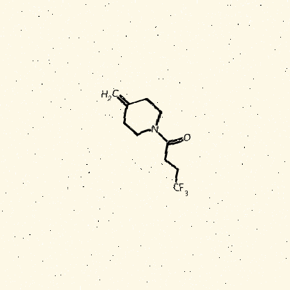 C=C1CCN(C(=O)CCC(F)(F)F)CC1